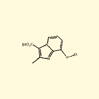 CCOC(=O)c1c(C)nc2c(OCC)cccn12